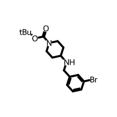 CC(C)(C)OC(=O)N1CCC(NCc2cccc(Br)c2)CC1